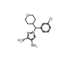 Nc1cn(C(c2cccc(Cl)c2)C2CCOCC2)nc1N